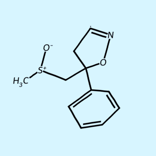 C[S+]([O-])CC1(c2ccccc2)C[C]=NO1